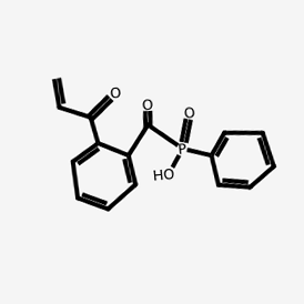 C=CC(=O)c1ccccc1C(=O)P(=O)(O)c1ccccc1